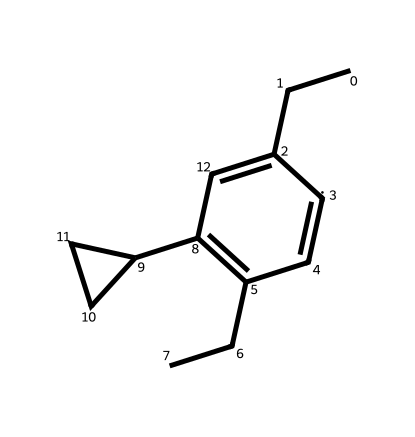 CCc1[c]cc(CC)c(C2CC2)c1